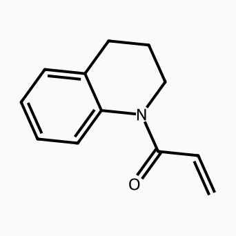 C=CC(=O)N1CCCc2ccccc21